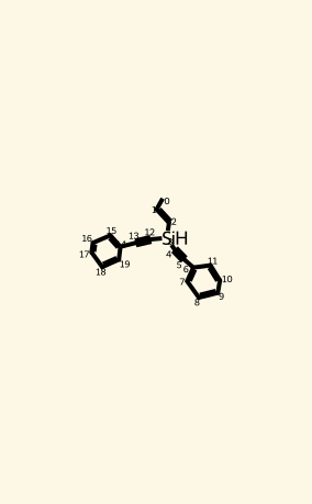 CC=C[SiH](C#Cc1ccccc1)C#Cc1ccccc1